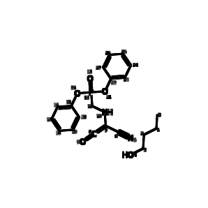 CCCCO.N#CC(=C=O)NCP(=O)(Oc1ccccc1)Oc1ccccc1